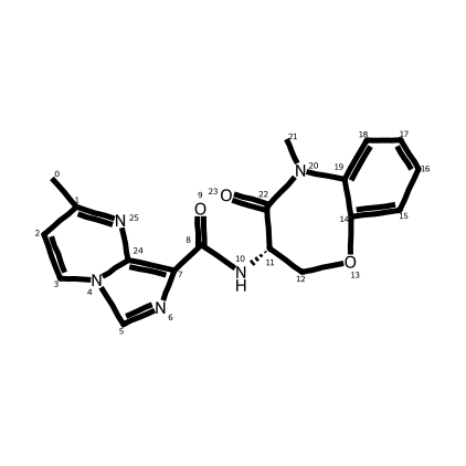 Cc1ccn2cnc(C(=O)N[C@H]3COc4ccccc4N(C)C3=O)c2n1